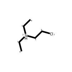 CC[SiH](CC)CCCl